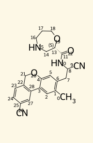 Cc1cc2c(cc1CC(C#N)NC(=O)[C@@H]1CNCCCO1)OCc1ccc(C#N)cc1-2